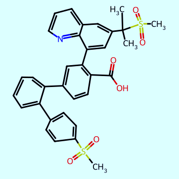 CC(C)(c1cc(-c2cc(-c3ccccc3-c3ccc(S(C)(=O)=O)cc3)ccc2C(=O)O)c2ncccc2c1)S(C)(=O)=O